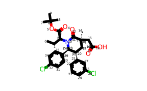 CCC(C(=O)OC(C)(C)C)N1C(=O)[C@@](C)(CC(=O)O)C[C@H](c2cccc(Cl)c2)[C@H]1c1ccc(Cl)cc1